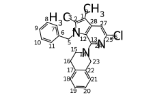 Cc1c(C)n(Cc2ccccc2)c2c(N3CCc4ccccc4C3)nc(Cl)cc12